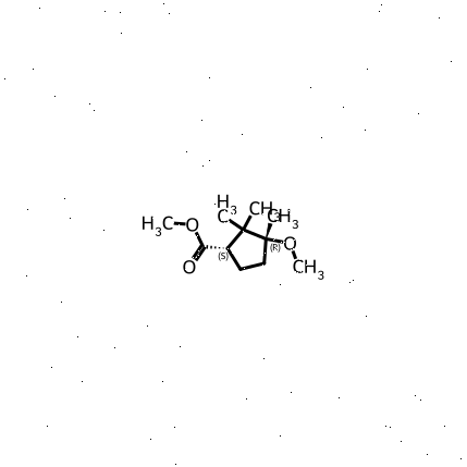 COC(=O)[C@H]1CC[C@@](C)(OC)C1(C)C